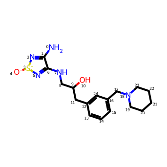 Nc1n[s+]([O-])nc1NCC(O)Cc1cccc(CN2CCCCC2)c1